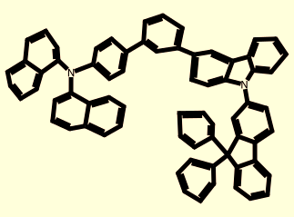 c1ccc(C2(c3ccccc3)c3ccccc3-c3ccc(-n4c5ccccc5c5cc(-c6cccc(-c7ccc(N(c8cccc9ccccc89)c8cccc9ccccc89)cc7)c6)ccc54)cc32)cc1